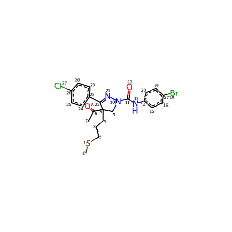 CSCCCC1(C(C)=O)CN(C(=O)Nc2ccc(Br)cc2)N=C1c1ccc(Cl)cc1